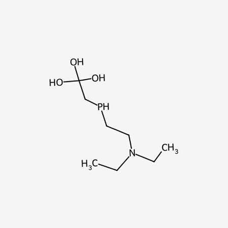 CCN(CC)CCPCC(O)(O)O